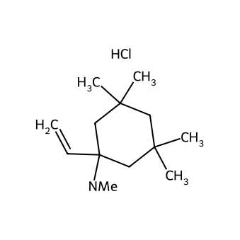 C=CC1(NC)CC(C)(C)CC(C)(C)C1.Cl